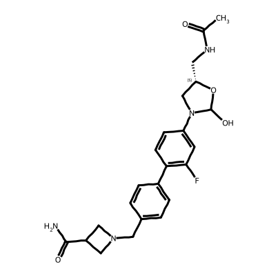 CC(=O)NC[C@H]1CN(c2ccc(-c3ccc(CN4CC(C(N)=O)C4)cc3)c(F)c2)C(O)O1